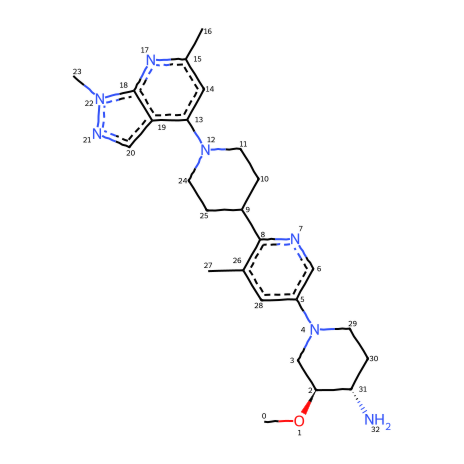 CO[C@H]1CN(c2cnc(C3CCN(c4cc(C)nc5c4cnn5C)CC3)c(C)c2)CC[C@@H]1N